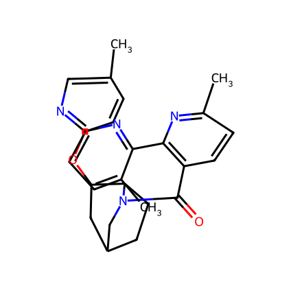 Cc1ccc(OC2CC3CCC2N(C(=O)c2ccc(C)nc2-c2ncccc2C)C3)nc1